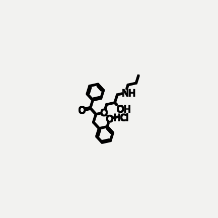 CCCNCC(O)COC(Cc1ccccc1OC)C(=O)c1ccccc1.Cl